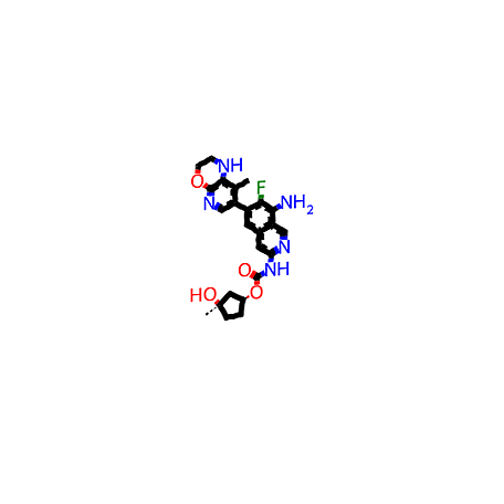 Cc1c(-c2cc3cc(NC(=O)O[C@@H]4CC[C@@](C)(O)C4)ncc3c(N)c2F)cnc2c1NCCO2